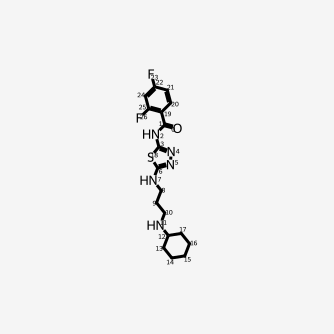 O=C(Nc1nnc(NCCCNC2CCCCC2)s1)c1ccc(F)cc1F